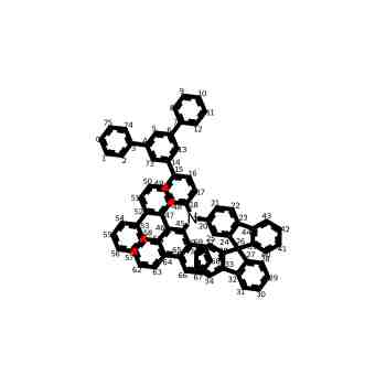 c1ccc(-c2cc(-c3ccccc3)cc(-c3ccc(N(c4ccc5c(c4)C4(c6ccccc6-c6ccccc64)c4ccccc4-5)c4c(-c5ccccc5-c5ccccc5)c5ccccc5c5ccccc45)cc3)c2)cc1